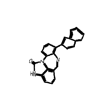 O=c1[nH]c2cccc3c2n1-c1cccc(-c2ccc4ccccc4c2)c1N=C3